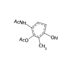 CC(=O)Nc1ccc(O)c(C)c1OC(C)=O